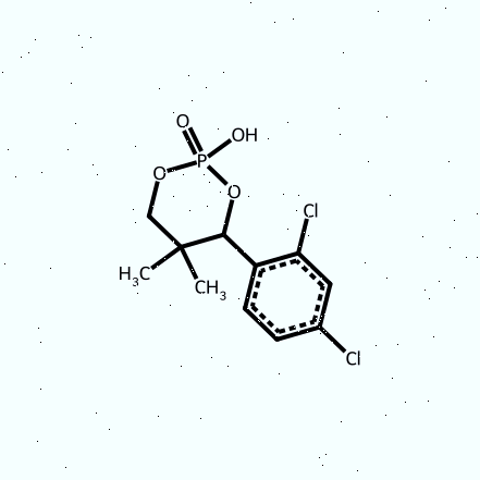 CC1(C)COP(=O)(O)OC1c1ccc(Cl)cc1Cl